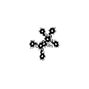 O[C@@H]1Cc2c(OCc3ccccc3)cc(OCc3ccccc3)cc2O[C@@H]1c1cc(OCc2ccccc2)c(OCc2ccccc2)c(OCc2ccccc2)c1